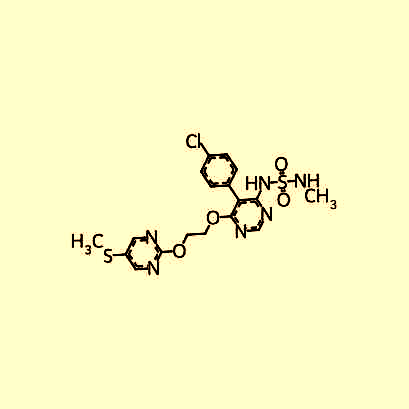 CNS(=O)(=O)Nc1ncnc(OCCOc2ncc(SC)cn2)c1-c1ccc(Cl)cc1